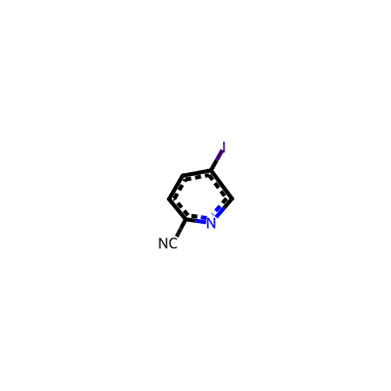 N#Cc1ccc(I)cn1